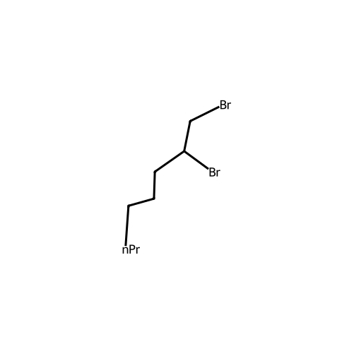 CCCCCCC(Br)CBr